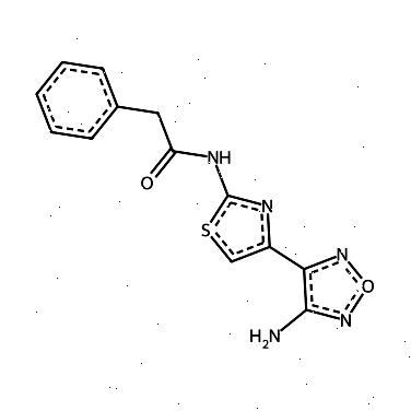 Nc1nonc1-c1csc(NC(=O)Cc2ccccc2)n1